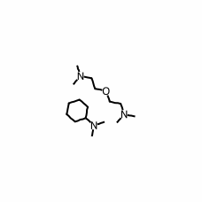 CN(C)C1CCCCC1.CN(C)CCOCCN(C)C